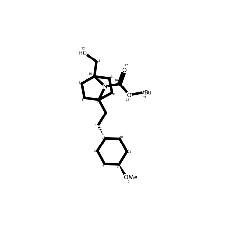 CO[C@H]1CC[C@H](CCC23CCC(CO)(CC2)N3C(=O)OC(C)(C)C)CC1